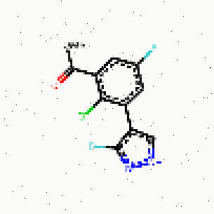 COC(=O)c1cc(F)cc(-c2c[nH]nc2F)c1Cl